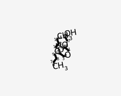 C1COCCO1.CCCCOCCCC.OCCO